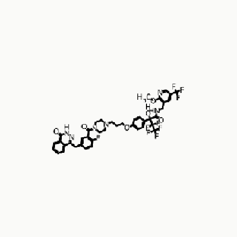 COc1ncc(C(F)(F)F)cc1CNC(=O)C(O)(c1ccc(OCCCN2CCN(C(=O)c3cc(Cc4n[nH]c(=O)c5ccccc45)ccc3F)CC2)cc1)C(F)(F)C(F)(F)F